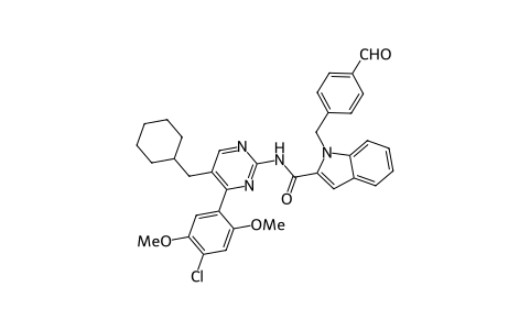 COc1cc(-c2nc(NC(=O)c3cc4ccccc4n3Cc3ccc(C=O)cc3)ncc2CC2CCCCC2)c(OC)cc1Cl